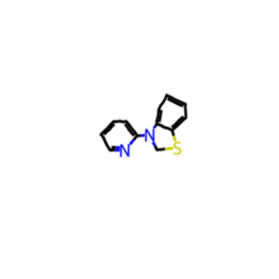 c1ccc(N2CSc3ccccc32)nc1